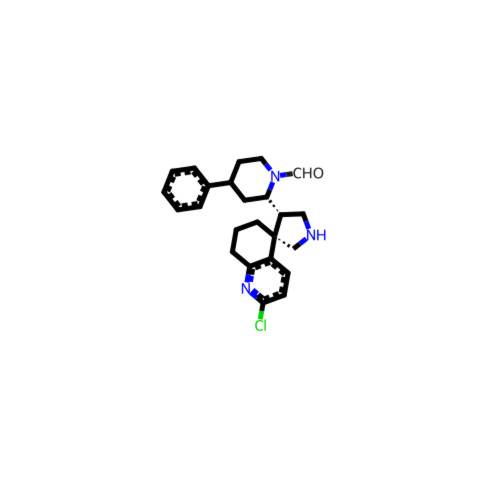 O=CN1CCC(c2ccccc2)CC1[C@@H]1CNC[C@]12CCCc1nc(Cl)ccc12